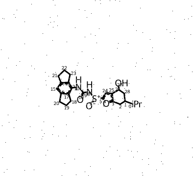 CC(C)C1Cc2oc([S+]([O-])NC(=O)Nc3c4c(cc5c3CCC5)CCC4)cc2C(O)C1